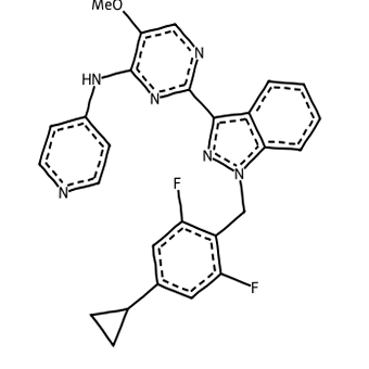 COc1cnc(-c2nn(Cc3c(F)cc(C4CC4)cc3F)c3ccccc23)nc1Nc1ccncc1